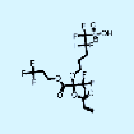 C=CC(=O)OC(OCCCC(F)(F)C(F)(F)S(=O)(=O)O)(C(=O)OCCC(F)(F)F)C(F)(F)F